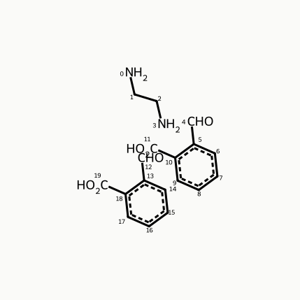 NCCN.O=Cc1ccccc1C(=O)O.O=Cc1ccccc1C(=O)O